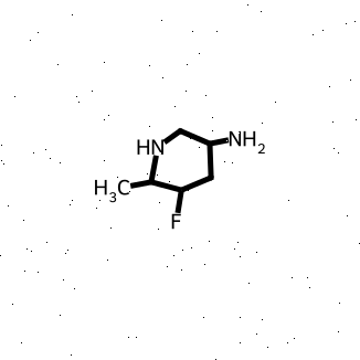 CC1NCC(N)CC1F